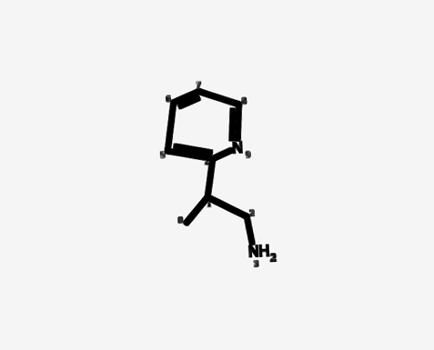 CC(CN)c1ccccn1